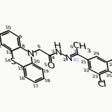 C/C(=N\NC(=O)CN1c2ccccc2Sc2ccccc21)c1cc(Cl)c(O)c(Cl)c1